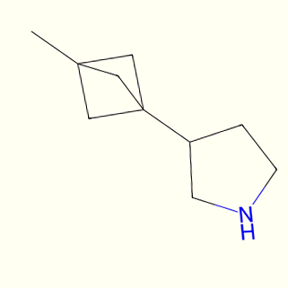 CC12CC(C3CCNC3)(C1)C2